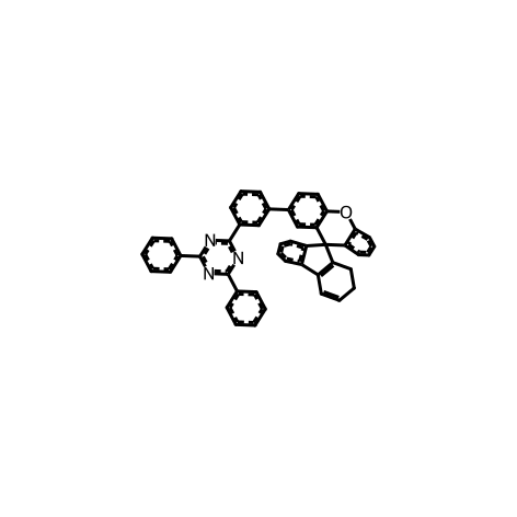 C1=CC2=C(CC1)C1(c3ccccc3Oc3ccc(-c4cccc(-c5nc(-c6ccccc6)nc(-c6ccccc6)n5)c4)cc31)c1ccccc12